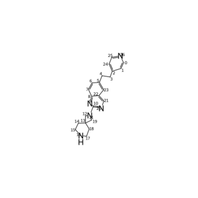 c1cc(CCc2ccc3nc(N4CC5(CCNCC5)C4)ncc3c2)ccn1